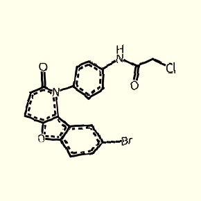 O=C(CCl)Nc1ccc(-n2c(=O)ccc3oc4ccc(Br)cc4c32)cc1